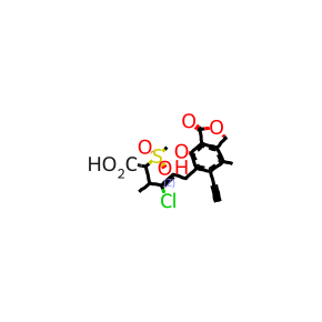 C#Cc1c(C)c2c(c(O)c1C/C=C(\Cl)C(C)C(C(=O)O)S(C)(=O)=O)C(=O)OC2